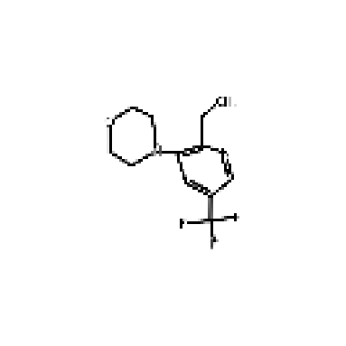 CCc1ncc(C(F)(F)F)cc1N1CCOCC1